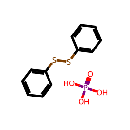 O=P(O)(O)O.c1ccc(SSc2ccccc2)cc1